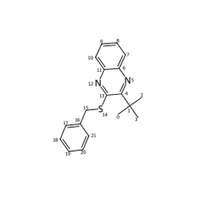 CC(C)(C)c1nc2ccccc2nc1SCc1ccccc1